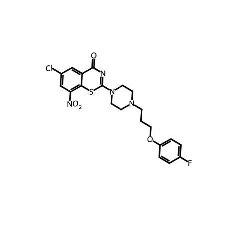 O=c1nc(N2CCN(CCCOc3ccc(F)cc3)CC2)sc2c([N+](=O)[O-])cc(Cl)cc12